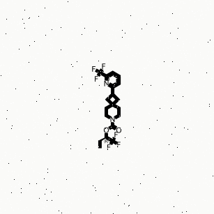 CC[C@@H](OC(=O)N1CCC2(CC1)CC(c1cccc(C(F)(F)F)n1)C2)C(F)(F)F